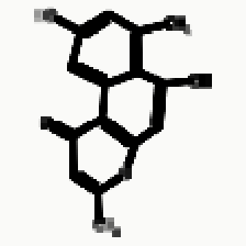 Cc1cc(=O)c2c(cc(O)c3c(C)cc(O)cc32)o1